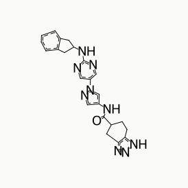 O=C(Nc1cnn(-c2cnc(NC3Cc4ccccc4C3)nc2)c1)C1CCc2[nH]nnc2C1